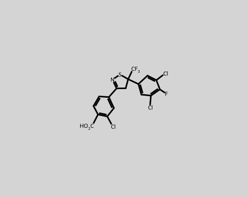 O=C(O)c1ccc(C2=NSC(c3cc(Cl)c(F)c(Cl)c3)(C(F)(F)F)C2)cc1Cl